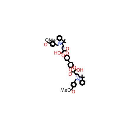 COC(=O)c1ccc(C[N+]2=C(/C=C/C3=C(O)OC4(CCC(C5CCC6(CC5)OC(=O)C(/C=C/C5=[N+](Cc7ccc(C(=O)OC)cc7)c7ccccc7C5(C)C)=C(O)O6)CC4)OC3=O)C(C)(C)c3ccccc32)cc1